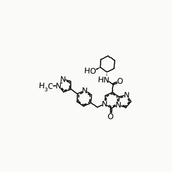 Cn1cc(-c2ccc(Cn3cc(C(=O)N[C@H]4CCCC[C@@H]4O)c4nccn4c3=O)cn2)cn1